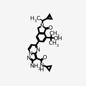 C[C@@H](C1=CC1)N1Cc2cc(-c3ccn4nc(N)c(C(=O)NC5CC5)c4n3)cc(C(C)(C)O)c2C1=O